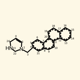 C1=CN(Cc2ccc3c(ccc4c5ccccc5ccc34)c2)CNC1